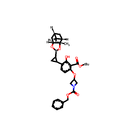 CC(C)(C)OC(=O)c1c(OC2CN(C(=O)OCc3ccccc3)C2)ccc(C2CC2B2O[C@@H]3C[C@@H]4C[C@@H](C4(C)C)[C@]3(C)O2)c1O